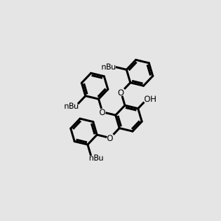 CCCCc1ccccc1Oc1ccc(O)c(Oc2ccccc2CCCC)c1Oc1ccccc1CCCC